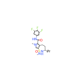 CN=S1(=O)NC(C(C)C)CCc2c1cn(C)c2C(=O)Nc1cc(F)c(F)c(F)c1